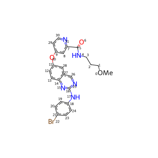 COCCCNC(=O)c1cc(Oc2ccc3nc(Nc4ccc(Br)cc4)ncc3c2)ccn1